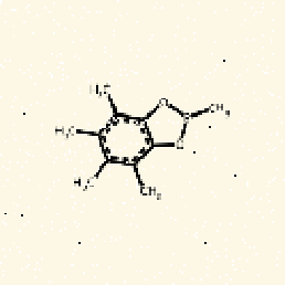 CB1Oc2c(C)c(C)c(C)c(C)c2O1